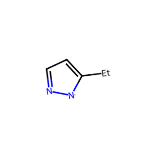 CCC1=CC=N[N]1